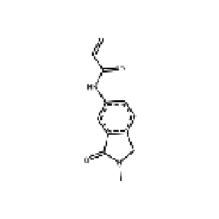 C=CC(=O)Nc1ccc2c(c1)C(=O)N(C)C2